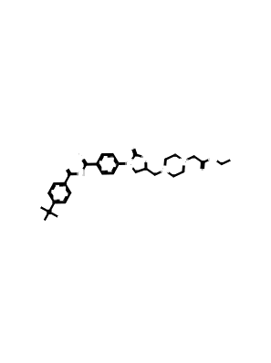 CCOC(=O)CN1CCN(CC2CN(c3ccc(C(=N)NC(=O)c4ccc(C(C)(C)C)cc4)cc3)C(=O)O2)CC1